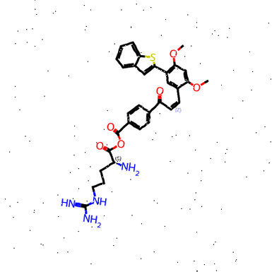 COc1cc(OC)c(-c2cc3ccccc3s2)cc1/C=C\C(=O)c1ccc(C(=O)OC(=O)[C@@H](N)CCCNC(=N)N)cc1